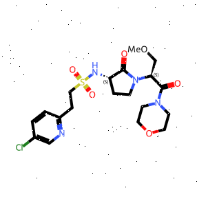 COC[C@@H](C(=O)N1CCOCC1)N1CC[C@H](NS(=O)(=O)CCc2ccc(Cl)cn2)C1=O